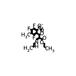 C=CCNC=C(C(=O)OCCC)C(=O)c1c(F)c(C)c(F)c(F)c1[N+](=O)[O-]